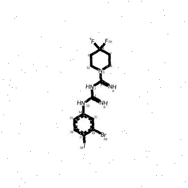 N=C(NC(=N)N1CCC(F)(F)CC1)Nc1ccc(I)c(Br)c1